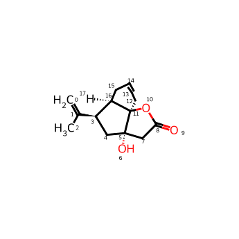 C=C(C)[C@@H]1C[C@]2(O)CC(=O)O[C@@]23CC=CC[C@H]13